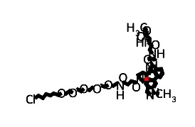 COC(=O)CNC(=O)CNC(=O)Cn1nc(C2CCN(C(=O)CCC(=O)NCCOCCOCCOCCOCCOCCCCCCCl)CC2)c2c(-c3cc4c(cnn4C)cc3F)cccc21